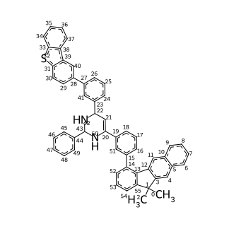 CC1(C)c2cc3ccccc3cc2-c2c(-c3cccc(C4=CC(c5cccc(-c6ccc7sc8ccccc8c7c6)c5)NC(c5ccccc5)N4)c3)cccc21